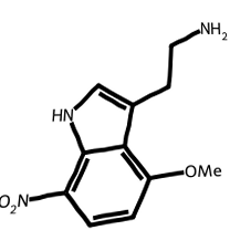 COc1ccc([N+](=O)[O-])c2[nH]cc(CCN)c12